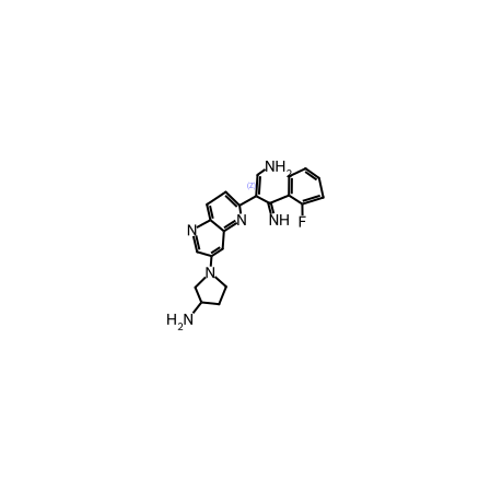 N=C(/C(=C\N)c1ccc2ncc(N3CCC(N)C3)cc2n1)c1ccccc1F